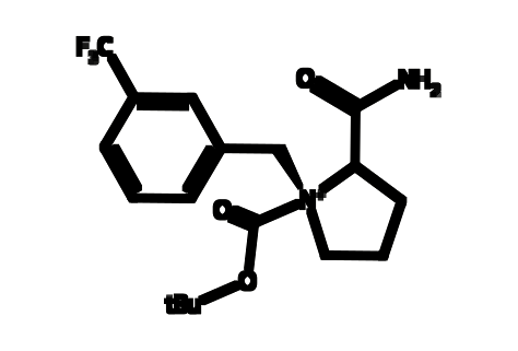 CC(C)(C)OC(=O)[N@@+]1(Cc2cccc(C(F)(F)F)c2)CCCC1C(N)=O